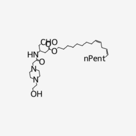 CCCCC/C=C\C/C=C\CCCCCCCCOC(=O)CC(CC=O)NC(=O)CN1CCN(CCO)CC1